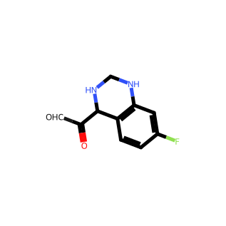 O=CC(=O)C1NCNc2cc(F)ccc21